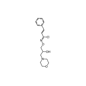 OC(CON=C(Cl)C=Cc1ccccc1)CN1CCOCC1